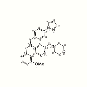 COc1cccc(CN(Cc2ccc(-n3cccn3)cc2)c2ccnc(CN3CCOCC3)c2)c1